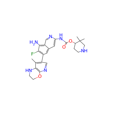 Cc1c(-c2cc3cc(NC(=O)OC4CCNCC4(C)C)ncc3c(N)c2F)cnc2c1NCCO2